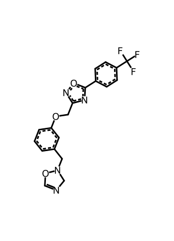 FC(F)(F)c1ccc(-c2nc(COc3cccc(CN4CN=CO4)c3)no2)cc1